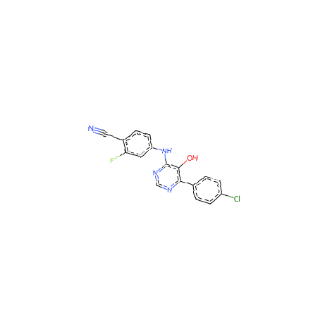 N#Cc1ccc(Nc2ncnc(-c3ccc(Cl)cc3)c2O)cc1F